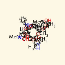 CO/N=C1\C[C@@H](C)O[C@@H](O[C@@H]2[C@@H](C)[C@H](O[C@H]3C[C@@H](C)NC[C@H](C)O3)[C@@H](C)C(=O)O[C@@H](C(C)CO[C@@H]3O[C@H](C)[C@@H](O)[C@@H](OC)[C@H]3OC)[C@@H](C)[C@@H](C(C(=O)O)C(C)C)[C@@H](C)C(=O)[C@@](C)(OC(=O)NCc3ccccc3)C[C@@H]2C)[C@@H]1O